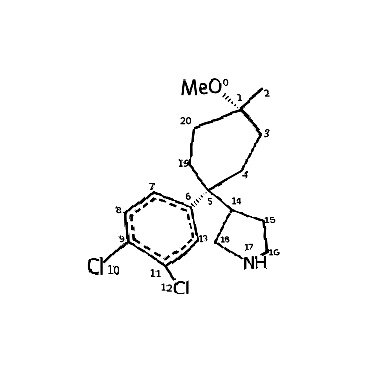 CO[C@]1(C)CC[C@@](c2ccc(Cl)c(Cl)c2)(C2CCNC2)CC1